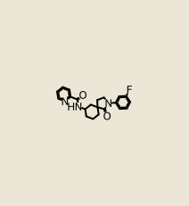 O=C(NC1CCCC2(CCN(c3cccc(F)c3)C2=O)C1)c1ccccn1